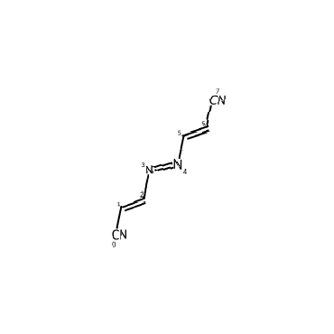 N#CC=CN=NC=CC#N